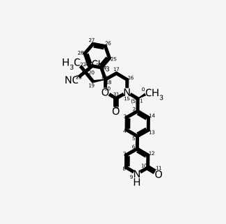 C[C@@H](c1ccc(-c2cc[nH]c(=O)c2)cc1)N1CC[C@@](CC(C)(C)C#N)(c2ccccc2)OC1=O